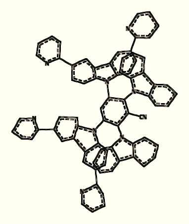 N#Cc1c(-n2c3ccccc3c3ccccc32)c(-n2c3ccc(-c4ccccn4)cc3c3cc(-c4ccccn4)ccc32)cc(-n2c3ccc(-c4ccccn4)cc3c3cc(-c4ccccn4)ccc32)c1-n1c2ccccc2c2ccccc21